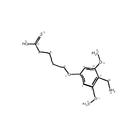 COc1cc(OCCCCC(=O)O)cc(OC)c1CN